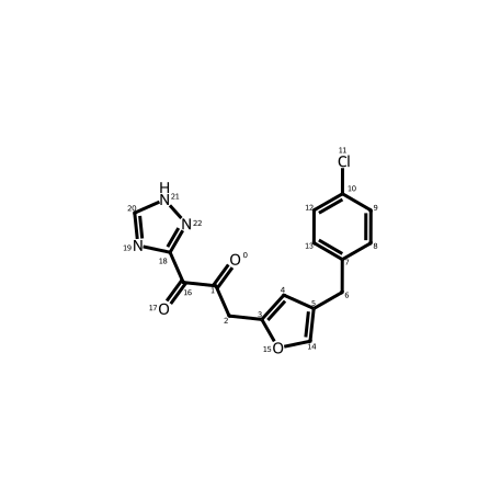 O=C(Cc1cc(Cc2ccc(Cl)cc2)co1)C(=O)c1nc[nH]n1